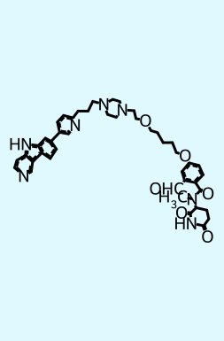 CN(C(=O)c1ccc(OCCCCCOCCN2CCN(CCCc3ccc(-c4ccc5c(c4)[nH]c4ccncc45)cn3)CC2)cc1C=O)C1CCC(=O)NC1=O